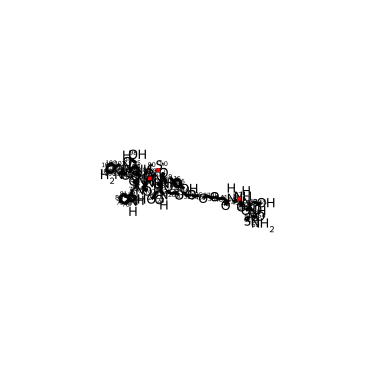 CSCC[C@H](NC(=O)[C@H](Cc1ccc(O)cc1)NC(=O)[C@H](CC(=O)O)NC(=O)CCOCCOCCOCCOCCC(=O)NC[C@H](N)C(=O)N[C@@H](CC(=O)O)C(=O)N[C@@H](CS)C(N)=O)C(=O)NCC(=O)N[C@@H](Cc1c[nH]c2ccccc12)C(=O)N[C@@H](CCSC)C(=O)N[C@@H](CC(=O)O)C(=O)N[C@@H](Cc1ccccc1)C(N)=O